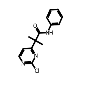 CC(C)(C(=O)Nc1ccccc1)c1ccnc(Cl)n1